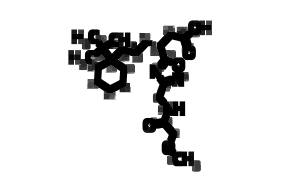 COCC(=O)NCc1noc([C@H](CCCC2(C(C)(C)C)CCCCC2)CC(=O)O)n1